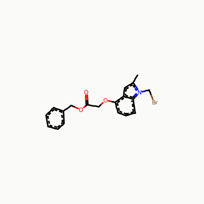 Cc1cc2c(OCC(=O)OCc3ccccc3)cccc2n1CBr